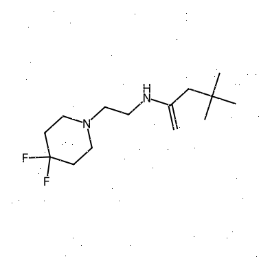 C=C(CC(C)(C)C)NCCN1CCC(F)(F)CC1